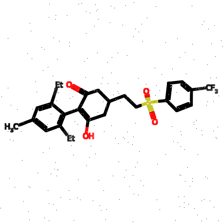 CCc1cc(C)cc(CC)c1C1=C(O)CC(CCS(=O)(=O)c2ccc(C(F)(F)F)cc2)CC1=O